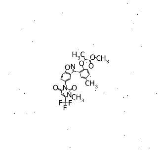 COC(=O)C(C)Oc1ccc(C)cc1-c1noc2ccc(-n3c(=O)cc(C(F)(F)F)n(C)c3=O)cc12